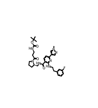 Cn1cc(-c2ccc(C(=O)NC[C@H]3CCCN3C(=O)CCNC(=O)OC(C)(C)C)c(NCCc3cccc(F)c3)n2)cn1